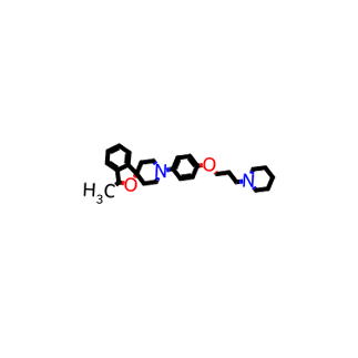 CC1OC2(CCN(c3ccc(OCCCN4CCCCC4)cc3)CC2)c2ccccc21